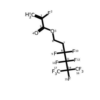 C=C(F)C(=O)OCCC(F)(F)C(F)(F)C(F)(C(F)(F)F)C(F)(F)F